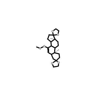 C[C@]12CCC3(CC1C=C(OSI)C1C2CC[C@@]2(C)C1CCC21OCCO1)OCCO3